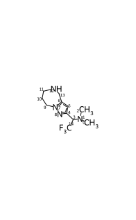 CN(C)C(c1cc2n(n1)CCCNC2)C(F)(F)F